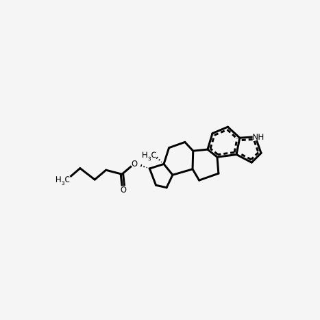 CCCCC(=O)O[C@H]1CCC2C3CCc4c(ccc5[nH]ccc45)C3CC[C@@]21C